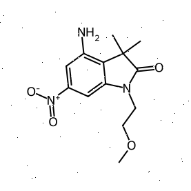 COCCN1C(=O)C(C)(C)c2c(N)cc([N+](=O)[O-])cc21